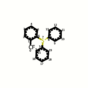 FC(F)(F)c1ccccc1[S+](c1ccccc1)c1ccccc1